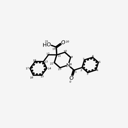 O=C(c1ccccc1)N1CCC(Cc2ccccc2)(C(=O)O)CC1